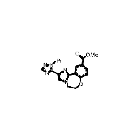 COC(=O)c1ccc2c(c1)-c1nc(-c3ncnn3C(C)C)cn1CCO2